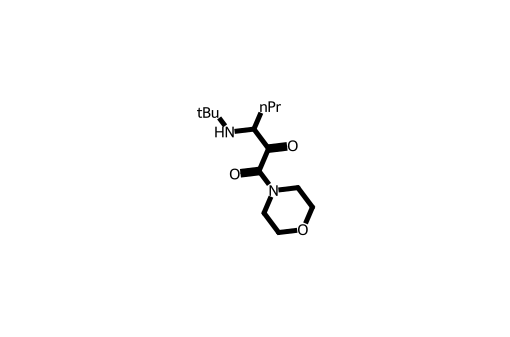 CCCC(NC(C)(C)C)C(=O)C(=O)N1CCOCC1